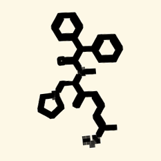 C=C(/C=C\C=C(/C)N)[C@@H](CN1CCCC1)N(C)C(=O)C(c1ccccc1)c1ccccc1